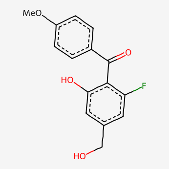 COc1ccc(C(=O)c2c(O)cc(CO)cc2F)cc1